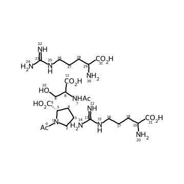 CC(=O)N1CCC[C@H]1C(=O)O.CC(=O)NC(CO)C(=O)O.N=C(N)NCCCC(N)C(=O)O.N=C(N)NCCCC(N)C(=O)O